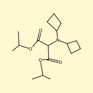 CC(C)OC(=O)C(C(=O)OC(C)C)N(C1CCC1)C1CCC1